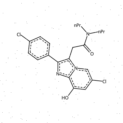 CCCN(CCC)C(=O)Cc1c(-c2ccc(Cl)cc2)nc2c(O)cc(Cl)cn12